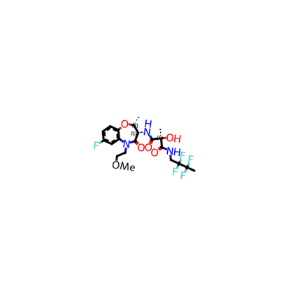 COCCN1C(=O)[C@@H](NC(=O)[C@@](C)(O)C(=O)NCC(F)(F)C(C)(F)F)[C@@H](C)Oc2ccc(F)cc21